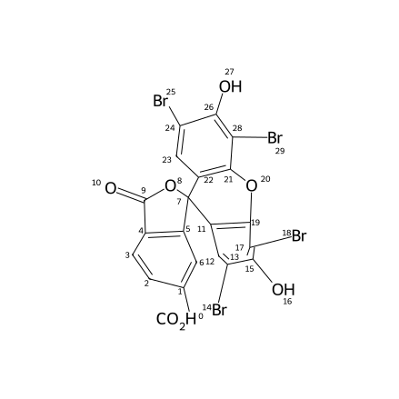 O=C(O)c1ccc2c(c1)C1(OC2=O)c2cc(Br)c(O)c(Br)c2Oc2c1cc(Br)c(O)c2Br